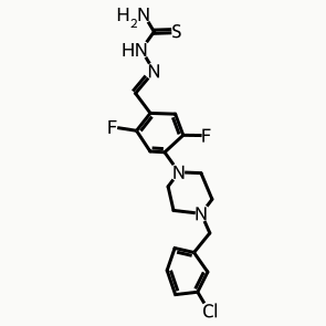 NC(=S)NN=Cc1cc(F)c(N2CCN(Cc3cccc(Cl)c3)CC2)cc1F